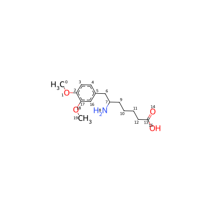 COc1ccc(CC(N)CCCCC(=O)O)cc1OC